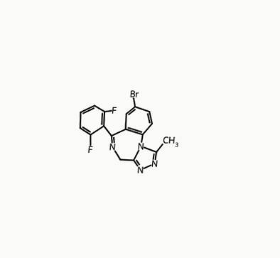 Cc1nnc2n1-c1ccc(Br)cc1C(c1c(F)cccc1F)=NC2